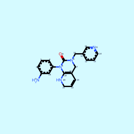 Nc1cccc(N2C(=O)N(Cc3cccnc3)CC3=C2NCC=C3)c1